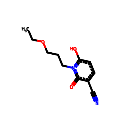 CCOCCCn1c(O)ccc(C#N)c1=O